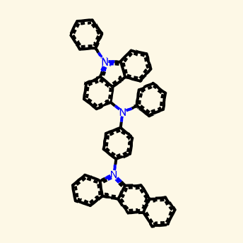 c1ccc(N(c2ccc(-n3c4ccccc4c4cc5ccccc5cc43)cc2)c2cccc3c2c2ccccc2n3-c2ccccc2)cc1